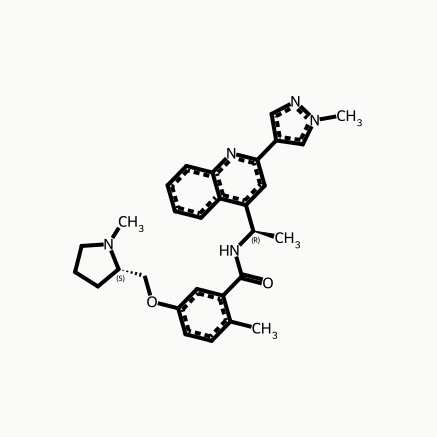 Cc1ccc(OC[C@@H]2CCCN2C)cc1C(=O)N[C@H](C)c1cc(-c2cnn(C)c2)nc2ccccc12